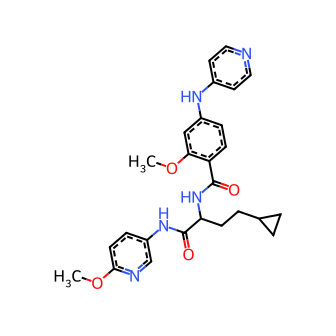 COc1ccc(NC(=O)C(CCC2CC2)NC(=O)c2ccc(Nc3ccncc3)cc2OC)cn1